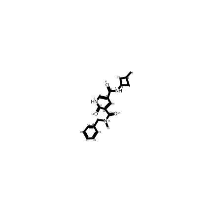 CC1CC(NC(=O)c2c[nH]c(=O)c(C(=O)N(C)Cc3ccccc3)c2)C1